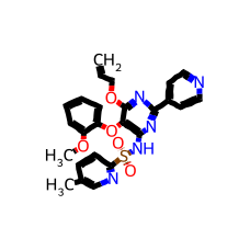 C=CCOc1nc(-c2ccncc2)nc(NS(=O)(=O)c2ccc(C)cn2)c1Oc1ccccc1OC